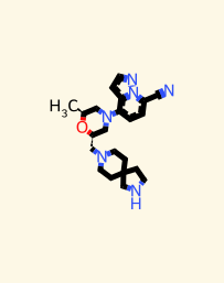 C[C@@H]1CN(c2ccc(C#N)n3nccc23)C[C@H](CN2CCC3(CCNC3)CC2)O1